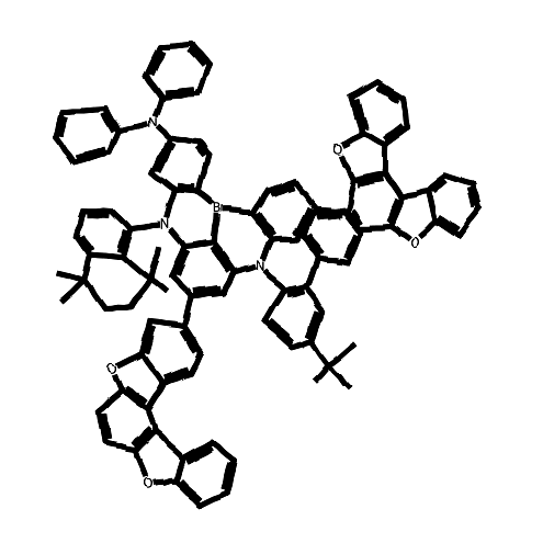 CC(C)(C)c1ccc(N2c3cc(-c4cc5oc6ccccc6c5c5c4oc4ccccc45)ccc3B3c4ccc(N(c5ccccc5)c5ccccc5)cc4N(c4cccc5c4C(C)(C)CCC5(C)C)c4cc(-c5ccc6c(c5)oc5ccc7oc8ccccc8c7c56)cc2c43)c(-c2ccccc2)c1